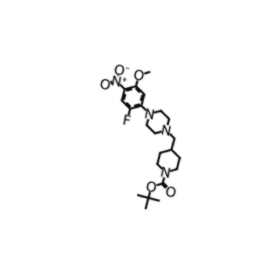 COc1cc(N2CCN(CC3CCN(C(=O)OC(C)(C)C)CC3)CC2)c(F)cc1[N+](=O)[O-]